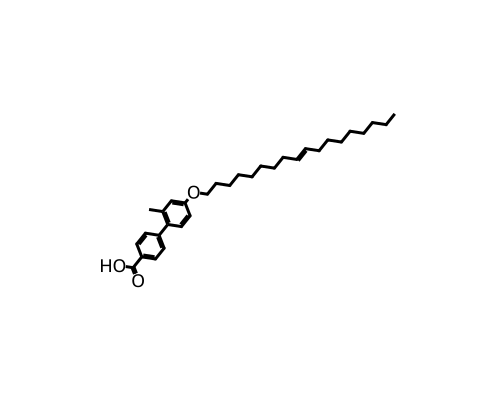 CCCCCCCCC=CCCCCCCCCOc1ccc(-c2ccc(C(=O)O)cc2)c(C)c1